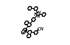 N#Cc1cccc(-c2ccc(C34CC5CC(CC(c6ccc(-c7ccc(-c8nc(-c9ccccc9)nc(-c9cccc(-c%10ccccc%10)c9)n8)cc7)c7ccccc67)(C5)C3)C4)c3ccccc23)c1